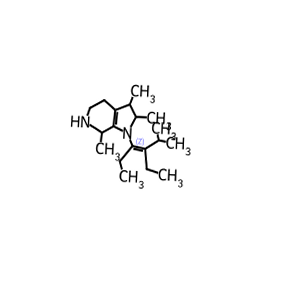 CC/C(=C(\CC)N1C2=C(CCNC2C)C(C)C1C)C(C)C